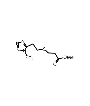 COC(=O)CCSCCc1nnnn1C